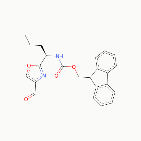 CCC[C@@H](NC(=O)OCC1c2ccccc2-c2ccccc21)c1nc(C=O)co1